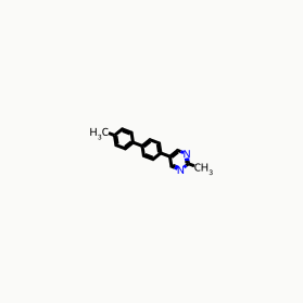 Cc1ccc(-c2ccc(-c3cnc(C)nc3)cc2)cc1